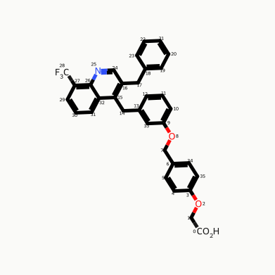 O=C(O)COc1ccc(COc2cccc(Cc3c(Cc4ccccc4)cnc4c(C(F)(F)F)cccc34)c2)cc1